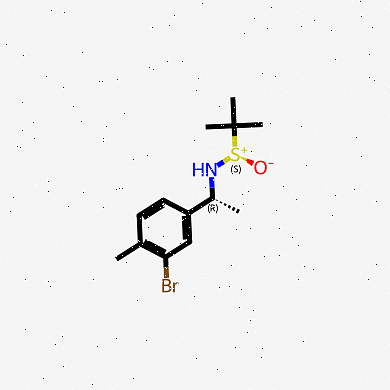 Cc1ccc([C@@H](C)N[S@+]([O-])C(C)(C)C)cc1Br